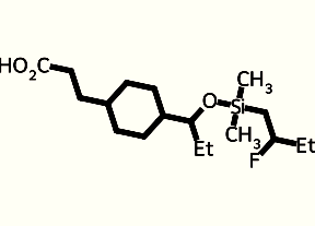 CCC(F)C[Si](C)(C)OC(CC)C1CCC(CCC(=O)O)CC1